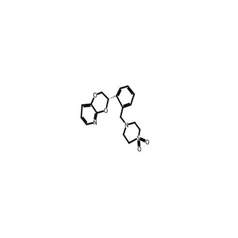 O=S1(=O)CCN(Cc2ccccc2[C@H]2COc3cccnc3O2)CC1